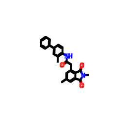 Cc1cc(CC(=O)Nc2ccc(-c3ccccc3)cc2C)c2c(c1)C(=O)N(C)C2=O